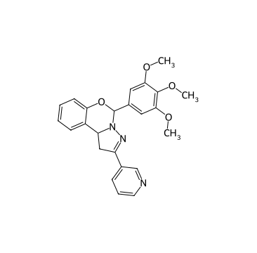 COc1cc(C2Oc3ccccc3C3CC(c4cccnc4)=NN32)cc(OC)c1OC